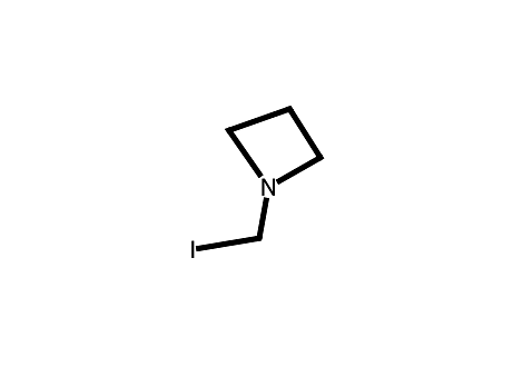 ICN1CCC1